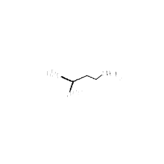 C[CH]CC(CCN)CCCC